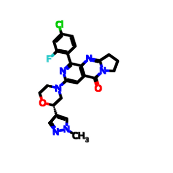 Cn1cc([C@H]2CN(c3cc4c(=O)n5c(nc4c(-c4ccc(Cl)cc4F)n3)CCC5)CCO2)cn1